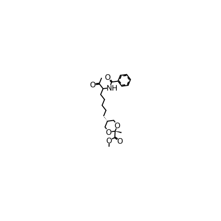 COC(=O)[C@]1(C)OC[C@H](CCCCCC(NC(=O)c2ccccc2)C(C)=O)CO1